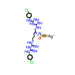 Br.Cl.N=C(NCCCCCCNC(=N)NC(=N)Nc1ccc(Cl)cc1)NC(=N)Nc1ccc(Cl)cc1.N[S-](=O)=O.[Ag+]